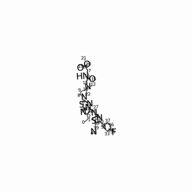 CCc1nc2sc(N3CCC(N(C)CC(=O)NCC(=O)OC)C3)nn2c1N(C)c1nc(-c2ccc(F)cc2)c(C#N)s1